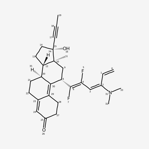 C=C/C(=C\C(F)=C(/F)[C@H]1C[C@@]2(C)[C@@H](CC[C@@]2(O)C#CC)[C@@H]2CCC3=CC(=O)CCC3=C21)N(C)C